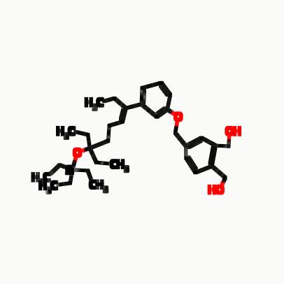 CCC(=CCCC(CC)(CC)O[Si](CC)(CC)CC)c1cccc(OCc2ccc(CO)c(CO)c2)c1